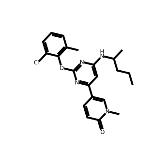 CCCC(C)Nc1cc(-c2ccc(=O)n(C)c2)nc(Oc2c(C)cccc2Cl)n1